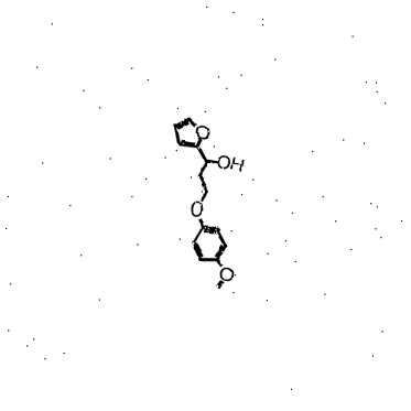 COc1ccc(OCCC(O)c2ccco2)cc1